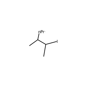 CC[CH]C(C)C(C)I